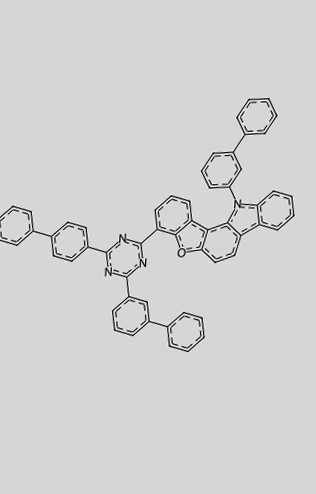 c1ccc(-c2ccc(-c3nc(-c4cccc(-c5ccccc5)c4)nc(-c4cccc5c4oc4ccc6c7ccccc7n(-c7cccc(-c8ccccc8)c7)c6c45)n3)cc2)cc1